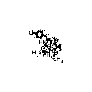 CCOC(=O)C1(c2nc([C@H](Cc3ccc(Cl)cc3)NC(=O)OC(C)(C)C)no2)CC1